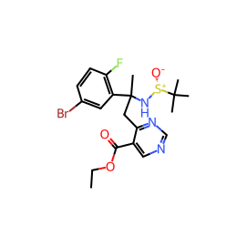 CCOC(=O)c1cncnc1CC(C)(N[S@+]([O-])C(C)(C)C)c1cc(Br)ccc1F